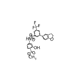 COC(=O)c1ccc(NS(=O)(=O)c2cc(-c3ccc4c(c3)CCO4)cc(C(F)(F)F)c2)cc1O